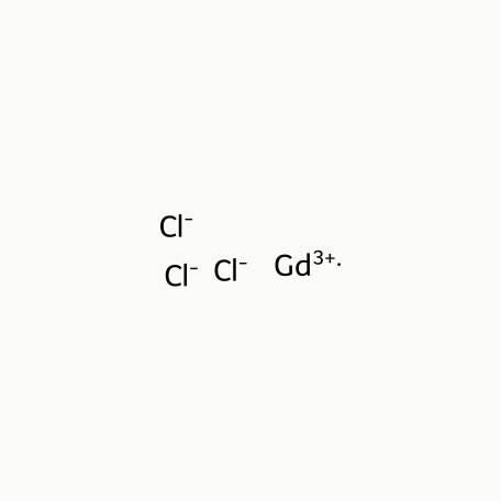 [Cl-].[Cl-].[Cl-].[Gd+3]